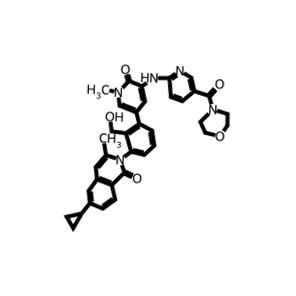 Cc1cc2cc(C3CC3)ccc2c(=O)n1-c1cccc(-c2cc(Nc3ccc(C(=O)N4CCOCC4)cn3)c(=O)n(C)c2)c1CO